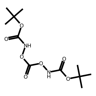 CC(C)(C)OC(=O)NOC(=O)ONC(=O)OC(C)(C)C